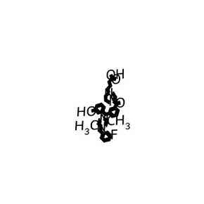 C[C@@H]1CN([C@@H](c2cccc(O)c2)c2cccc(C(=O)N3CCCN(CCCC(=O)O)CC3)c2)[C@@H](C)CN1Cc1cccc(F)c1